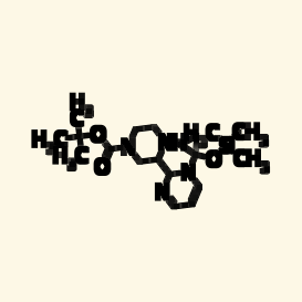 CC(C)(C)OC(=O)N1CCNC(C2N=CC=CN2C2(O[Si](C)(C)C)CC2)C1